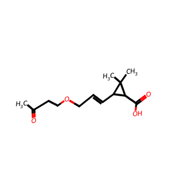 CC(=O)CCOCC=CC1C(C(=O)O)C1(C)C